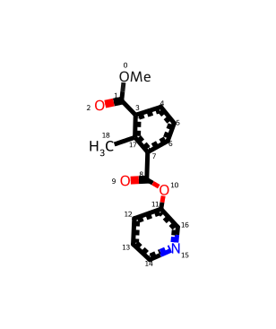 COC(=O)c1cccc(C(=O)Oc2cccnc2)c1C